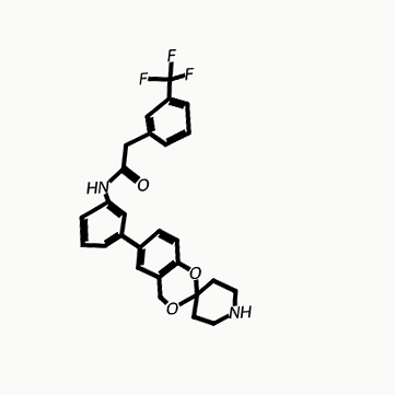 O=C(Cc1cccc(C(F)(F)F)c1)Nc1cccc(-c2ccc3c(c2)COC2(CCNCC2)O3)c1